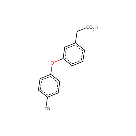 N#Cc1ccc(Oc2cccc(CC(=O)O)c2)cc1